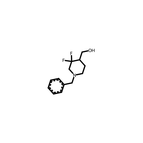 OCC1CCN(Cc2ccccc2)CC1(F)F